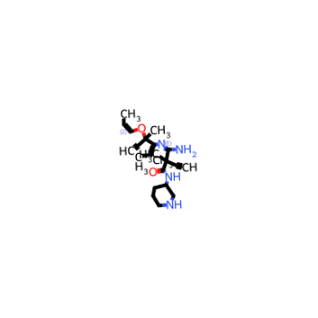 C#CC(C)(O/C=C\C)C(/N=C(/N)C(C)(C#C)C(=O)NC1CCCNC1)=C(C)C